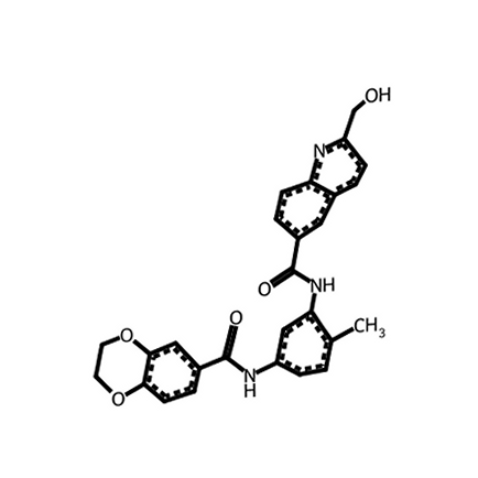 Cc1ccc(NC(=O)c2ccc3c(c2)OCCO3)cc1NC(=O)c1ccc2nc(CO)ccc2c1